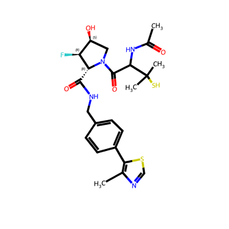 CC(=O)NC(C(=O)N1C[C@H](O)[C@H](F)[C@H]1C(=O)NCc1ccc(-c2scnc2C)cc1)C(C)(C)S